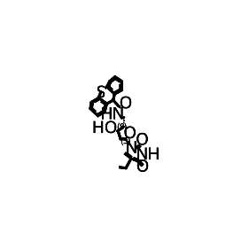 CCc1cn([C@@H]2CC(O)[C@H](CNC(=O)C3c4ccccc4Sc4ccccc43)O2)c(=O)[nH]c1=O